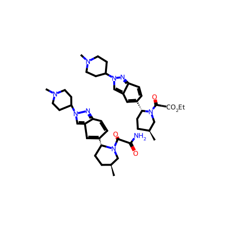 CCOC(=O)C(=O)N1C[C@@H](C)CC[C@@H]1c1ccc2nn(C3CCN(C)CC3)cc2c1.C[C@H]1CC[C@H](c2ccc3nn(C4CCN(C)CC4)cc3c2)N(C(=O)C(N)=O)C1